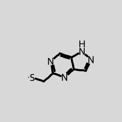 [S]Cc1ncc2[nH]ncc2n1